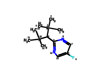 C[Si](C)(C)C(c1ncc(F)cn1)[Si](C)(C)C